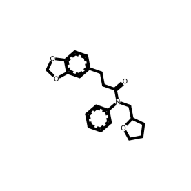 O=C(CCc1ccc2c(c1)OCO2)N(CC1CCCO1)c1ccccc1